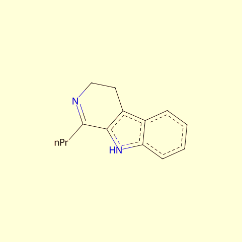 CCCC1=NCCc2c1[nH]c1ccccc21